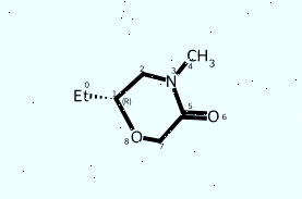 CC[C@@H]1CN(C)C(=O)CO1